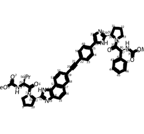 COC(=O)N[C@H](C(=O)N1CCC[C@H]1c1nc2ccc3cc(C#Cc4ccc(-c5cnc([C@@H]6CCCN6C(=O)[C@H](NC(=O)OC)c6ccccc6)[nH]5)cc4)ccc3c2[nH]1)C(C)C